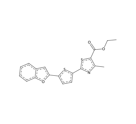 CCOC(=O)c1sc(-c2ccc(-c3cc4ccccc4o3)s2)nc1C